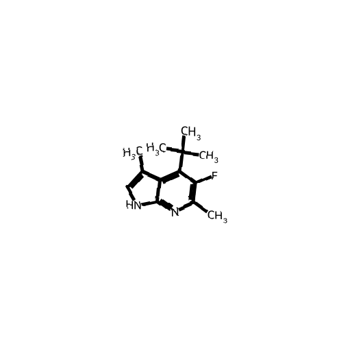 Cc1nc2[nH]cc(C)c2c(C(C)(C)C)c1F